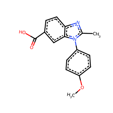 COc1ccc(-n2c(C)nc3ccc(C(=O)O)cc32)cc1